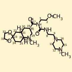 COCCN(C(=O)NCCN1CCN(C)CC1)C(=O)[C@@H]1C[C@@H]2CC3(CC[C@H]2N(C)C1)OCCO3